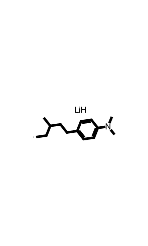 [CH2]CC(C)CCc1ccc(N(C)C)cc1.[LiH]